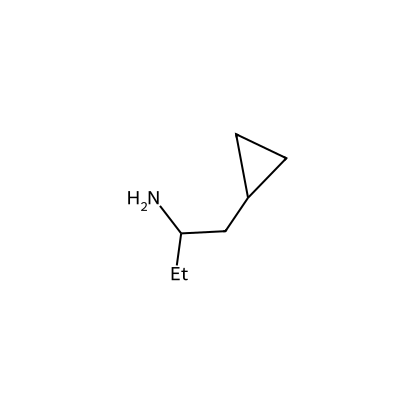 CCC(N)CC1CC1